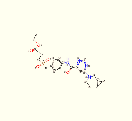 CCOC(=O)CCS(=O)(=O)Cc1ccc(NC(=O)c2cc(N(CC)CC3CC3)ncn2)cc1